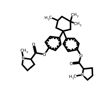 CC1CC(C)(C)CC(c2ccc(OC(=O)C3CCCN3C)cc2)(c2ccc(OC(=O)C3CCCN3C)cc2)C1